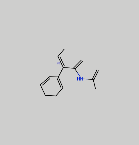 C=C(C)NC(=C)/C(=C\C)C1=CCCC=C1